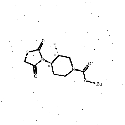 CC(C)(C)OC(=O)N1CC[C@@H](N2C(=O)CSC2=O)[C@H](F)C1